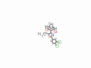 CCc1sc(-c2ccc(Cl)c(Cl)c2)nc1C1C(=O)[C@@H]2CC[C@@H](C2)C1=O